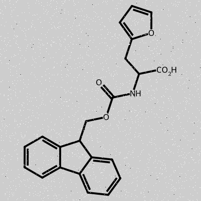 O=C(NC(Cc1ccco1)C(=O)O)OCC1c2ccccc2-c2ccccc21